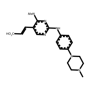 CNc1nc(Nc2ccc(N3CCN(C)CC3)cc2)ncc1C=CC(=O)O